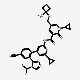 CC1(NCc2cc(C(=O)Nc3cc(-c4ccc(C#N)cc4-c4nncn4C(F)F)cc(C4CC4)n3)c(=O)n(C3CC3)c2)CCC1